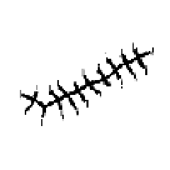 I[C](C(I)(I)I)C(I)(I)C(I)(I)C(I)(I)C(I)(I)C(I)(I)C(I)(I)C(I)(I)C(I)(I)I